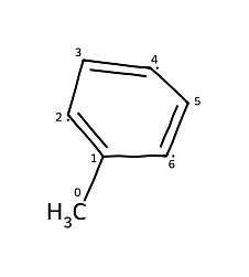 Cc1[c]c[c]c[c]1